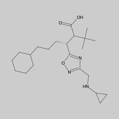 CC(C)(C)C(C(=O)O)[C@@H](CCCC1CCCCC1)c1nc(CNC2CC2)no1